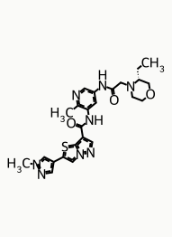 CC[C@@H]1COCCN1CC(=O)Nc1cnc(C)c(NC(=O)c2cnn3cc(-c4cnn(C)c4)sc23)c1